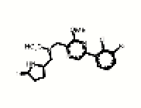 COc1nc(-c2cccc(Br)c2Cl)cnc1CN(CC1CCC(=O)N1)C(=O)O